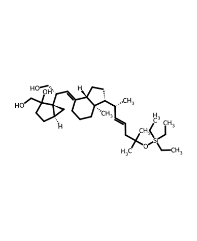 CC[Si](CC)(CC)OC(C)(C)C/C=C/[C@@H](C)[C@H]1CC[C@H]2/C(=C/[C@@H](CO)[C@]34C[C@H]3CCC4(O)CO)CCC[C@]12C